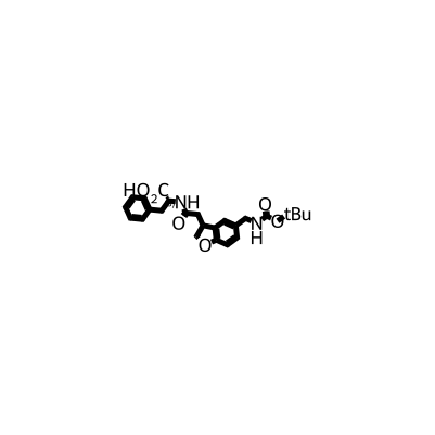 CC(C)(C)OC(=O)NCc1ccc2c(c1)C(CC(=O)N[C@@H](Cc1ccccc1)C(=O)O)CO2